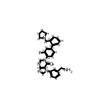 NCc1cccc(-n2cnc3ncn(-c4ccc(-c5ccccc5CN5CCCC5)cc4F)c(=O)c32)c1